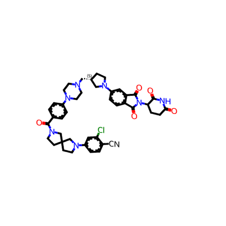 N#Cc1ccc(N2CCC3(CCN(C(=O)c4ccc(N5CCN(C[C@@H]6CCN(c7ccc8c(c7)C(=O)N(C7CCC(=O)NC7=O)C8=O)C6)CC5)cc4)C3)C2)cc1Cl